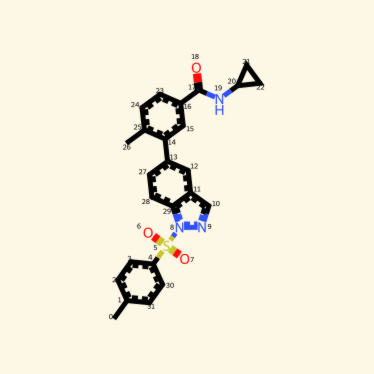 Cc1ccc(S(=O)(=O)n2ncc3cc(-c4cc(C(=O)NC5CC5)ccc4C)ccc32)cc1